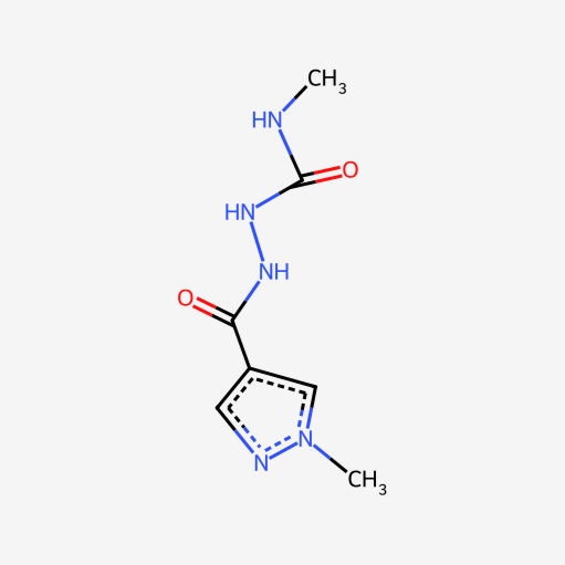 CNC(=O)NNC(=O)c1cnn(C)c1